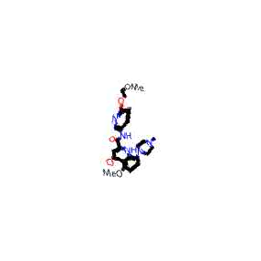 COCCOc1ccc(NC(=O)c2cc(=O)c3c(OC)ccc(N4CCN(C)CC4)c3[nH]2)cn1